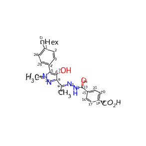 CCCCCCc1ccc(-c2c(O)c(C(C)=NNC(=O)c3ccc(C(=O)O)cc3)nn2C)cc1